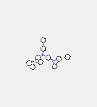 C1=CC2=CC=CC3C2C(=C1)C31c2cccc3c(N(c4ccc(-c5ccccc5)cc4)c4ccc(-n5c6ccccc6c6cc(-c7ccccc7)ccc65)cc4)ccc1c23